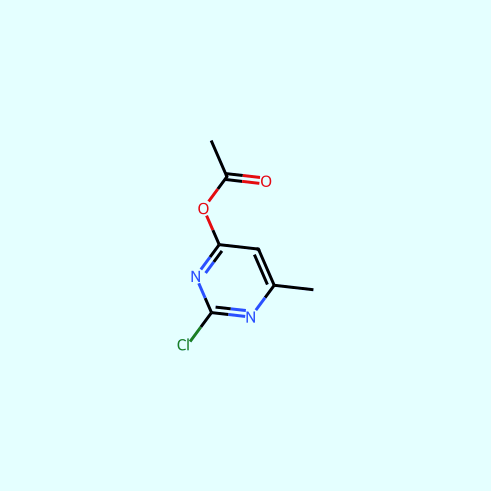 CC(=O)Oc1cc(C)nc(Cl)n1